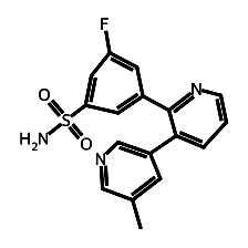 Cc1cncc(-c2cccnc2-c2cc(F)cc(S(N)(=O)=O)c2)c1